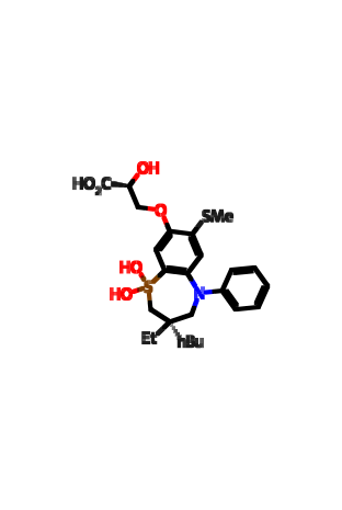 CCCC[C@@]1(CC)CN(c2ccccc2)c2cc(SC)c(OC[C@H](O)C(=O)O)cc2S(O)(O)C1